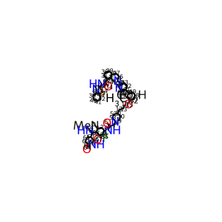 CNc1cc(NC(=O)CN2CCC(CCCOc3cccc(-c4ccc(N5CCc6cccc(C(=O)Nc7nc8ccccc8s7)c6C5)nc4C(=O)O)c3C)CC2)c(F)cc1C(=N)C1CCC(=O)NC1=O